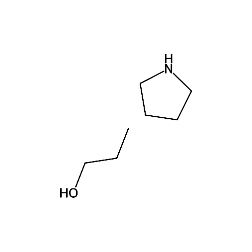 C1CCNC1.CCCO